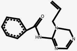 C=CCN1CN=CN=C1NC(=O)c1ccccc1